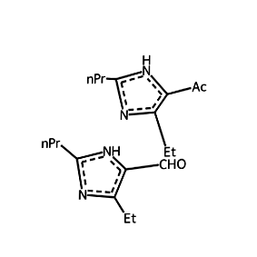 CCCc1nc(CC)c(C(C)=O)[nH]1.CCCc1nc(CC)c(C=O)[nH]1